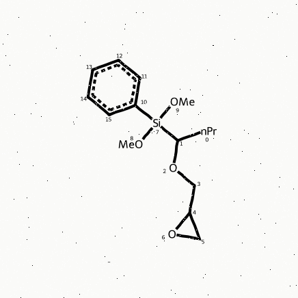 CCCC(OCC1CO1)[Si](OC)(OC)c1ccccc1